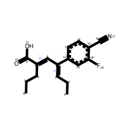 CC/C=C(/C=C(\CCC)C(=O)O)c1ccc(C#N)c(F)c1